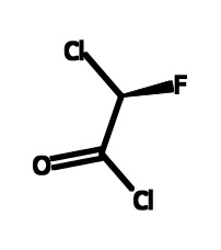 O=C(Cl)[C@H](F)Cl